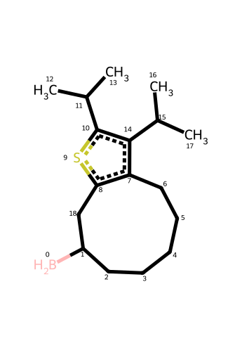 BC1CCCCCc2c(sc(C(C)C)c2C(C)C)C1